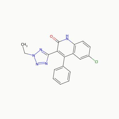 CCn1nnc(-c2c(-c3ccccc3)c3cc(Cl)ccc3[nH]c2=O)n1